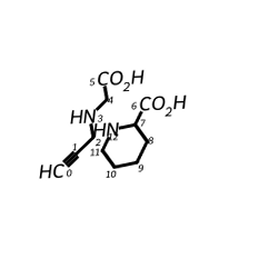 C#CCNCC(=O)O.O=C(O)C1CCCCN1